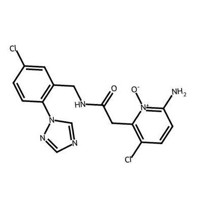 Nc1ccc(Cl)c(CC(=O)NCc2cc(Cl)ccc2-n2cncn2)[n+]1[O-]